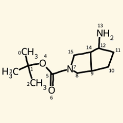 CC(C)(C)OC(=O)N1CC2CCC(N)C2C1